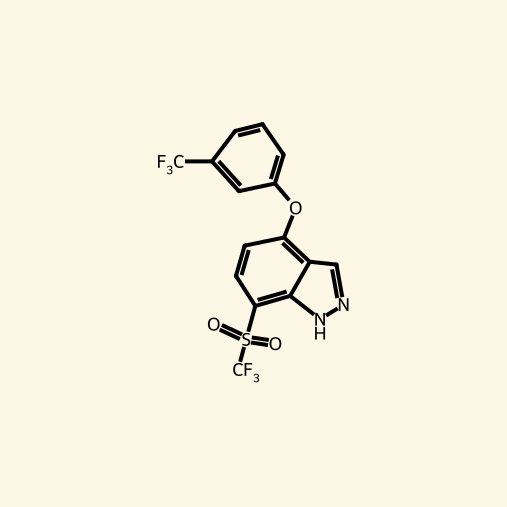 O=S(=O)(c1ccc(Oc2cccc(C(F)(F)F)c2)c2cn[nH]c12)C(F)(F)F